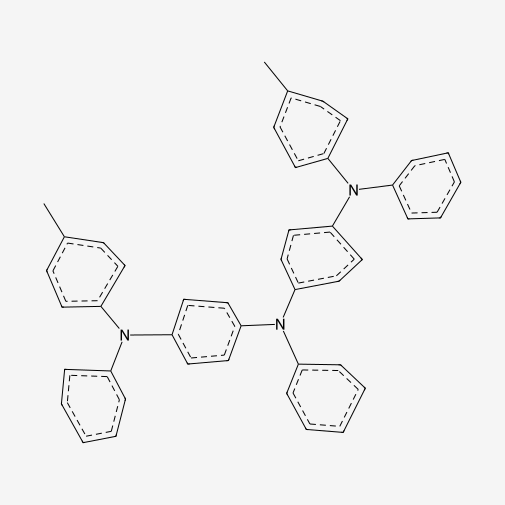 Cc1ccc(N(c2ccccc2)c2ccc(N(c3ccccc3)c3ccc(N(c4ccccc4)c4ccc(C)cc4)cc3)cc2)cc1